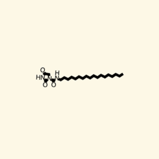 CCCCCCCCCCCCCCCCCCNC(=O)N1CC(=O)NC1=O